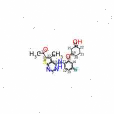 CC(=O)c1sc2ncnc(Nc3ccc(F)cc3O[C@@H]3CCC[C@@H](O)C3)c2c1C